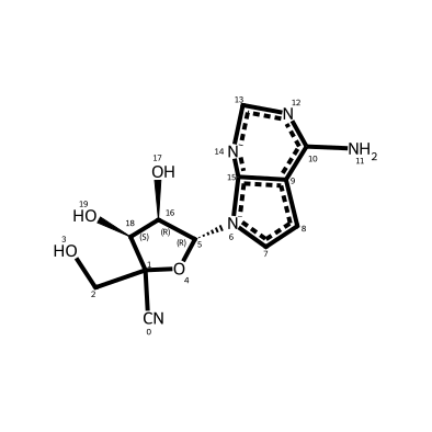 N#CC1(CO)O[C@@H](n2ccc3c(N)ncnc32)[C@H](O)[C@@H]1O